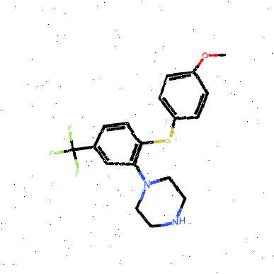 COc1ccc(Sc2ccc(C(F)(F)F)cc2N2CCNCC2)cc1